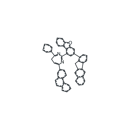 C1=C(c2ccc3c(ccc4ccccc43)c2)N=C(c2cc(-c3cccc4c3Cc3cc5ccccc5cc3-4)cc3oc4ccccc4c23)N=C(c2ccccc2)C1